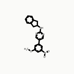 COc1cc(-c2cnc(NC3Cc4ccccc4C3)nc2)cc([N+](=O)[O-])c1